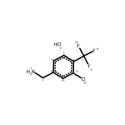 Cl.NCc1ccc(C(F)(F)F)c(Cl)c1